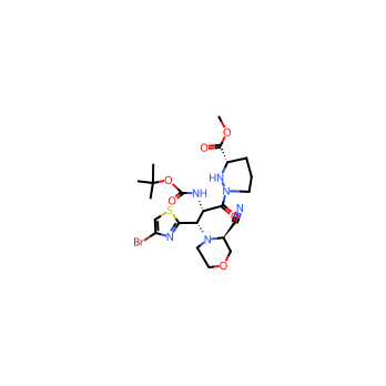 COC(=O)[C@@H]1CCCN(C(=O)[C@@H](NC(=O)OC(C)(C)C)[C@@H](c2nc(Br)cs2)N2CCOC[C@@H]2C#N)N1